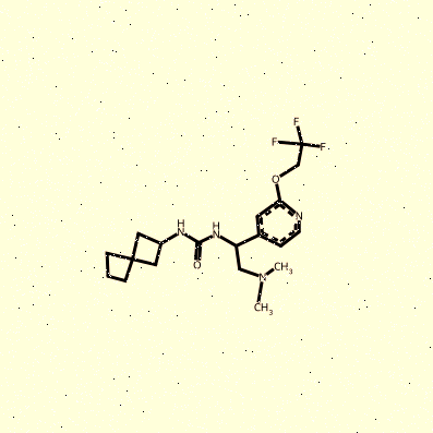 CN(C)CC(NC(=O)NC1CC2(CCC2)C1)c1ccnc(OCC(F)(F)F)c1